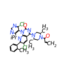 C=CC(=O)N1C[C@H](C)N(c2nc(=O)n(-c3c(Cl)ncnc3C(C)C)c3nc(-c4ccccc4C)c(Cl)cc23)C[C@H]1C